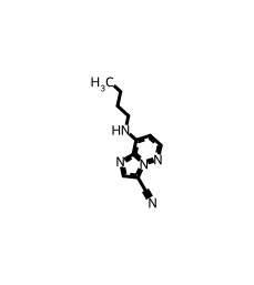 CCCCNc1ccnn2c(C#N)cnc12